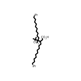 CC(C)CCCCCCCCCCC(CC(=O)O)C(C)(CCCCCCCCCCC(C)C)C(C)(C)C(=O)O